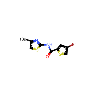 CC(C)(C)c1csc(NC(=O)c2cc(Br)cs2)n1